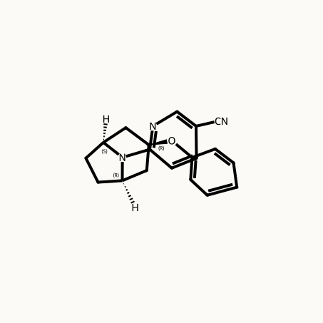 N#Cc1ccc(N2[C@@H]3CC[C@H]2C[C@@H](Oc2ccccc2)C3)nc1